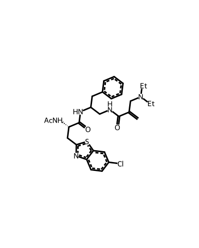 C=C(CN(CC)CC)C(=O)NCC(Cc1ccccc1)NC(=O)[C@H](Cc1nc2ccc(Cl)cc2s1)NC(C)=O